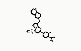 Cl.Cl.O=C(O)c1ccc(-c2cnc3ncc(Cc4ccc5ncccc5c4)n3n2)cc1F